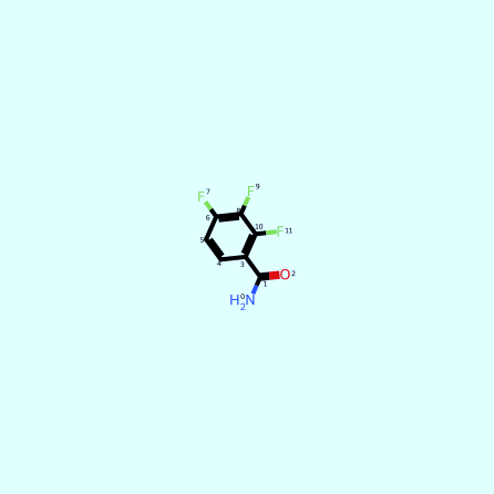 NC(=O)c1ccc(F)c(F)c1F